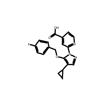 O=C(O)c1ccnc(-n2ncc(C3CC3)c2OCc2ccc(F)cc2)c1